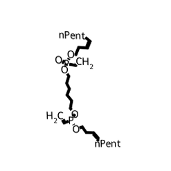 C=CP(OCC/C=C\CCCCC)OCCCCCCOP(=O)(C=C)OCC/C=C\CCCCC